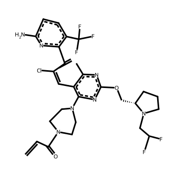 C=CC(=O)N1CCN(c2nc(OC[C@@H]3CCCN3CC(F)F)nc(C)c2/C=C(/Cl)C(=C)c2nc(N)ccc2C(F)(F)F)CC1